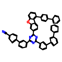 N#Cc1ccc(-c2cccc(-c3nc(-c4cccc(-c5cccc(-c6ccccc6)c5)c4)nc(-c4ccc5c(c4)oc4cccc(-c6ccc(-c7ccccc7)cc6)c45)n3)c2)cc1